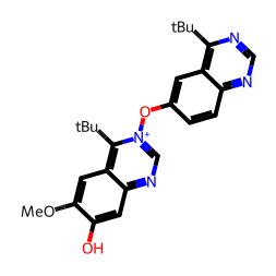 COc1cc2c(C(C)(C)C)[n+](Oc3ccc4ncnc(C(C)(C)C)c4c3)cnc2cc1O